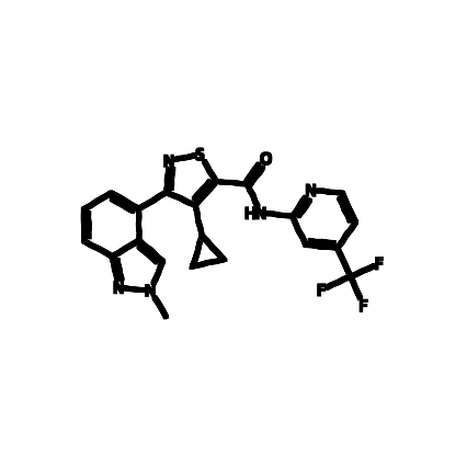 Cn1cc2c(-c3nsc(C(=O)Nc4cc(C(F)(F)F)ccn4)c3C3CC3)cccc2n1